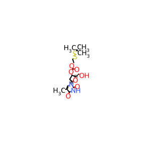 Cc1cn([C@H]2CC(OC(=O)OCCSSC(C)(C)C)[C@@H](CO)O2)c(=O)[nH]c1=O